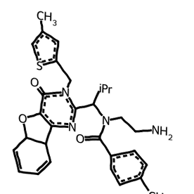 Cc1ccc(C(=O)N(CCN)C(c2nc3c(c(=O)n2Cc2cc(C)cs2)OC2C=CC=CC32)C(C)C)cc1